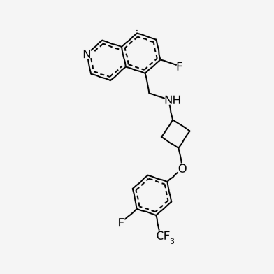 Fc1ccc(OC2CC(NCc3c(F)c[c]c4cnccc34)C2)cc1C(F)(F)F